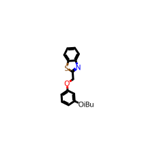 CC(C)COc1cccc(OCc2nc3ccccc3s2)c1